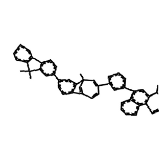 CC1CC=Cc2c1cc(-c1cccc(C3=CC4(C)C=C(C=C3)c3ccc(-c5ccc6c(c5)C(C)(C)c5ccccc5-6)cc34)c1)c1ccccc21